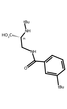 CC(C)(C)N[C@H](CNC(=O)c1cccc(C(C)(C)C)c1)C(=O)O